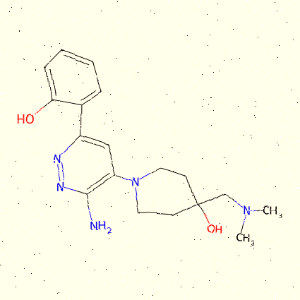 CN(C)CC1(O)CCN(c2cc(-c3ccccc3O)nnc2N)CC1